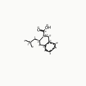 CN(C)C[C@@H]1Cc2ccccc2CN1C(=O)O